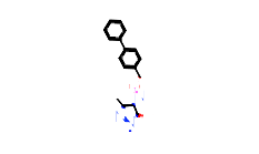 CC1=NN(C)C(=O)C1=NOCc1ccc(-c2ccccc2)cc1